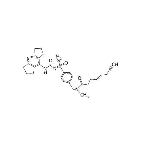 C#CC/C=C/CCC(=O)N(C)Cc1ccc(S(N)(=O)=NC(=O)Nc2c3c(cc4c2CCC4)CCC3)cc1